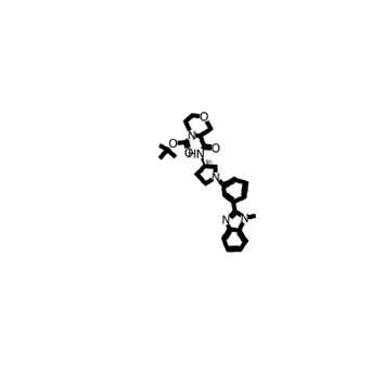 Cn1c(-c2cccc(N3CC[C@@H](NC(=O)C4COCCN4C(=O)OC(C)(C)C)C3)c2)nc2ccccc21